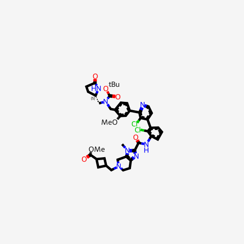 COC(=O)C1CC(CN2CCc3nc(C(=O)Nc4cccc(-c5ccnc(-c6ccc(CN(C[C@@H]7CCC(=O)N7)C(=O)OC(C)(C)C)c(OC)c6)c5Cl)c4Cl)n(C)c3C2)C1